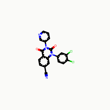 N#Cc1ccc2c(=O)n(-c3cccnc3)c(=O)n(-c3ccc(Cl)c(Cl)c3)c2c1